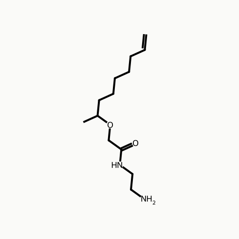 C=CCCCCCC(C)OCC(=O)NCCN